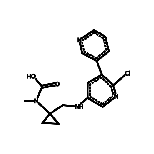 CN(C(=O)O)C1(CNc2cnc(Cl)c(-c3cccnc3)c2)CC1